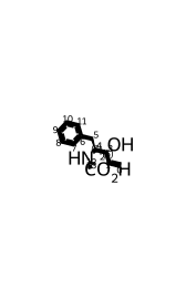 C=C[C@H](O)[C@H](Cc1ccccc1)NC(=O)O